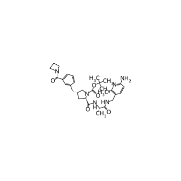 Cc1nc(N)ccc1CNC(=O)[C@H](C)NC(=O)[C@H]1C[C@H](Cc2cccc(C(=O)N3CCC3)c2)CN1C(=O)OC(C)(C)C